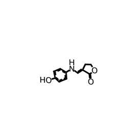 O=C1OCCC1=CNc1ccc(O)cc1